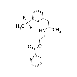 CC(Cc1cccc(C(C)(F)F)c1)NCCOC(=O)c1ccccc1